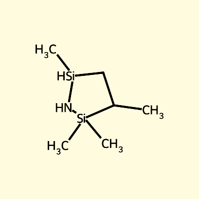 CC1C[SiH](C)N[Si]1(C)C